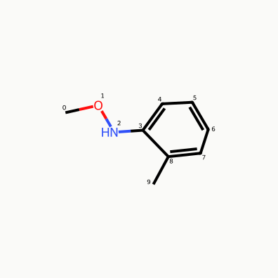 CONc1ccccc1C